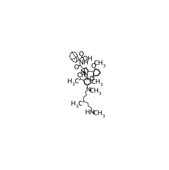 CNCCCC(C)CCCN(C)c1ccc(-n2nc(C(=O)NC3(C(=O)O)C4CC5CC(C4)CC3C5)cc2-c2c(OC)cccc2OC)c(C(C)C)c1